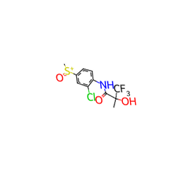 C[S+]([O-])c1ccc(NC(=O)C(C)(O)C(F)(F)F)c(Cl)c1